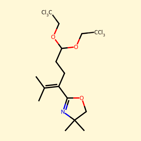 CC(C)=C(CCC(OCC(Cl)(Cl)Cl)OCC(Cl)(Cl)Cl)C1=NC(C)(C)CO1